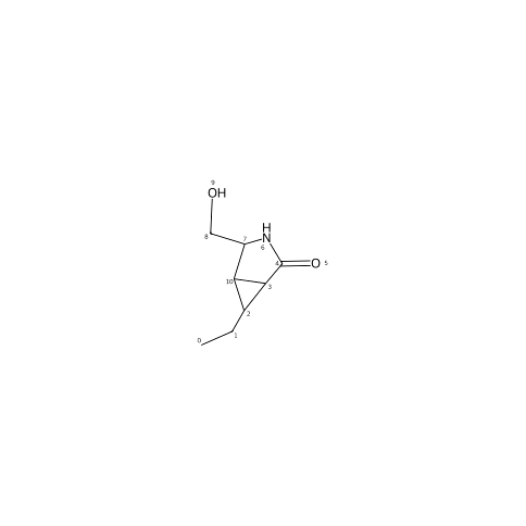 CCC1C2C(=O)NC(CO)C12